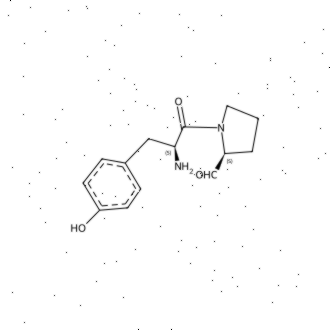 N[C@@H](Cc1ccc(O)cc1)C(=O)N1CCC[C@H]1[C]=O